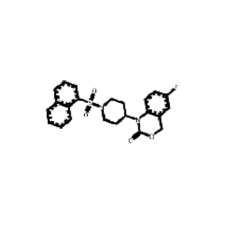 O=C1OCc2cc(F)ccc2N1C1CCN(S(=O)(=O)c2cccc3ccccc23)CC1